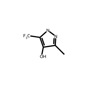 CC1=N[N]C(C(F)(F)F)=C1O